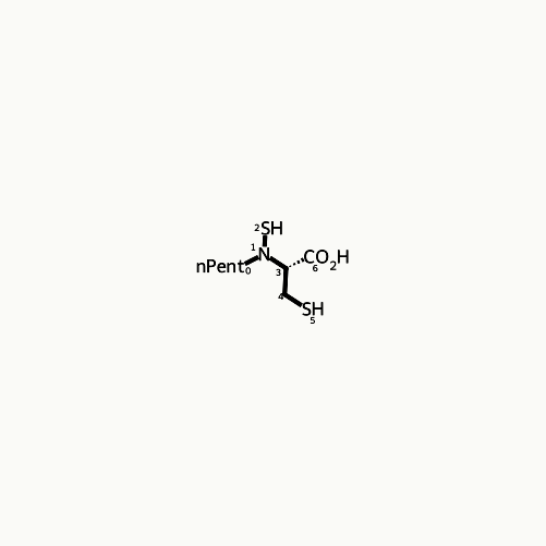 CCCCCN(S)[C@@H](CS)C(=O)O